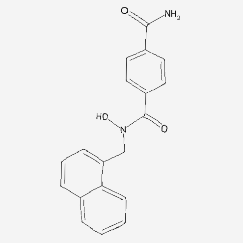 NC(=O)c1ccc(C(=O)N(O)Cc2cccc3ccccc23)cc1